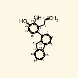 C=CCc1c(-c2cccc3c2Cc2ccccc2-3)ccc(O)c1O